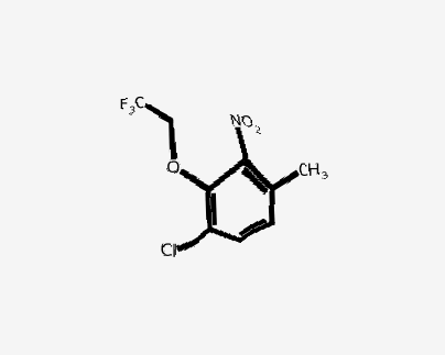 Cc1ccc(Cl)c(OCC(F)(F)F)c1[N+](=O)[O-]